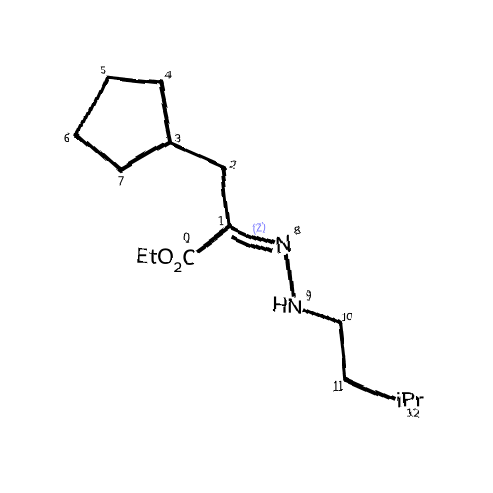 CCOC(=O)/C(CC1CCCC1)=N\NCCC(C)C